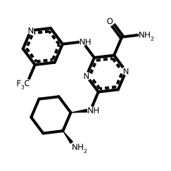 NC(=O)c1ncc(N[C@@H]2CCCC[C@@H]2N)nc1Nc1cncc(C(F)(F)F)c1